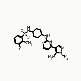 Cc1c(Cl)cccc1S(=O)(=O)NC1CCC(Nc2nccc(-c3cnn(C)c3N)n2)CC1